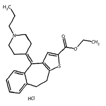 CCCN1CCC(=C2c3ccccc3CCc3sc(C(=O)OCC)cc32)CC1.Cl